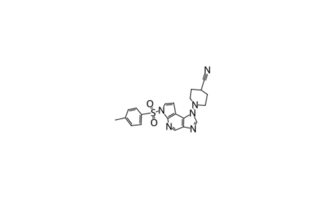 Cc1ccc(S(=O)(=O)n2ccc3c4c(cnc32)ncn4N2CCC(C#N)CC2)cc1